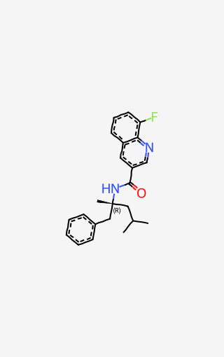 CC(C)C[C@](C)(Cc1ccccc1)NC(=O)c1cnc2c(F)cccc2c1